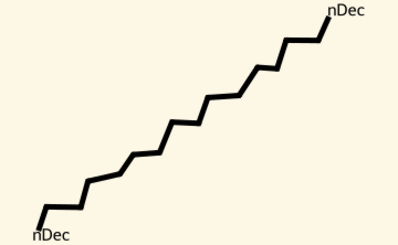 CCCCCCCCCCCCCCCCCCCCCCCCCCCCCCCCCC